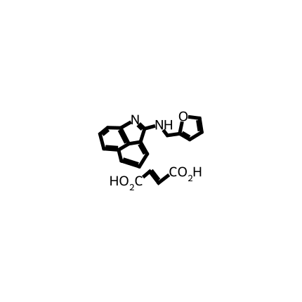 O=C(O)/C=C/C(=O)O.c1coc(CNC2=Nc3cccc4cccc2c34)c1